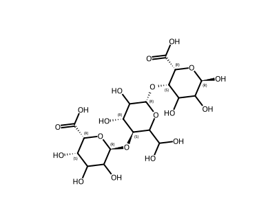 O=C(O)[C@@H]1O[C@@H](O[C@@H]2C(C(O)O)O[C@@H](O[C@H]3C(O)C(O)[C@H](O)O[C@H]3C(=O)O)C(O)[C@H]2O)C(O)C(O)[C@@H]1O